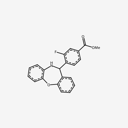 COC(=O)c1ccc(C2Nc3ccccc3Oc3ccccc32)c(F)c1